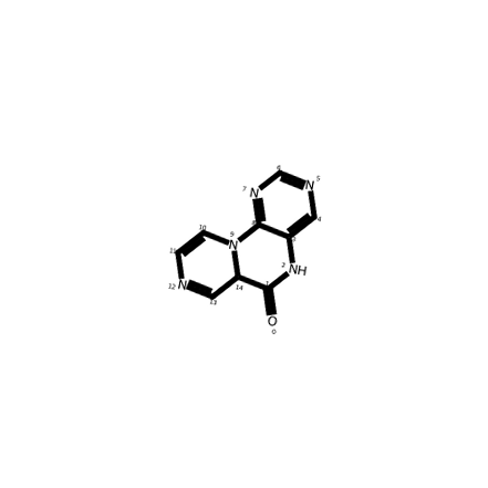 O=C1Nc2cncnc2N2C=CN=CC12